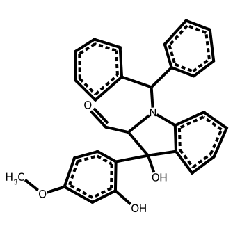 COc1ccc(C2(O)c3ccccc3N(C(c3ccccc3)c3ccccc3)C2C=O)c(O)c1